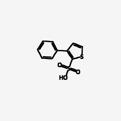 O=S(=O)(O)c1sccc1-c1ccccc1